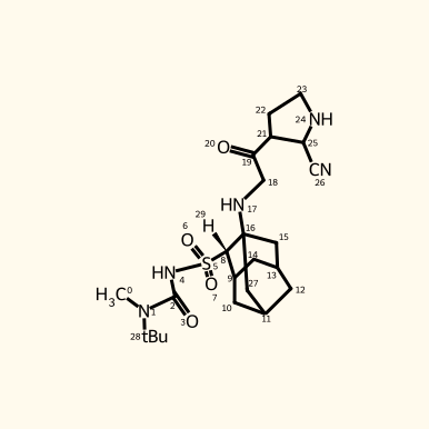 CN(C(=O)NS(=O)(=O)[C@H]1C2CC3CC(C2)CC1(NCC(=O)C1CCNC1C#N)C3)C(C)(C)C